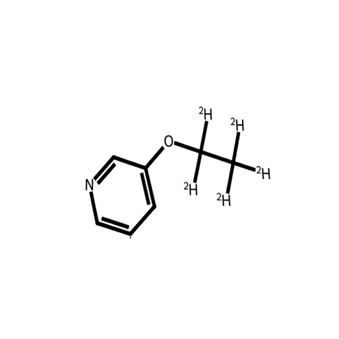 [2H]C([2H])([2H])C([2H])([2H])Oc1c[c]cnc1